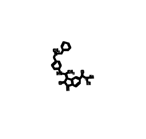 CCN(CC)C(=O)c1ccc2c(c1)/C(=C(\C)Nc1ccc(CN(C)Cc3ccccc3)cc1)C(=O)N2